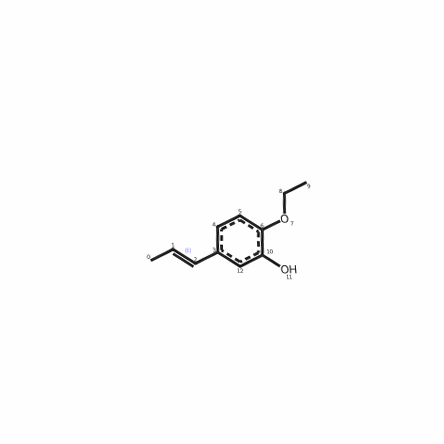 C/C=C/c1ccc(OCC)c(O)c1